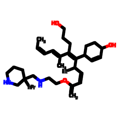 C=C(/C=C\C(CC)\C(=C(CCCO)/C(C)=C/C=C\C)C1C=CC(O)CC1)OCCNCC1(CCC)CCCNC1